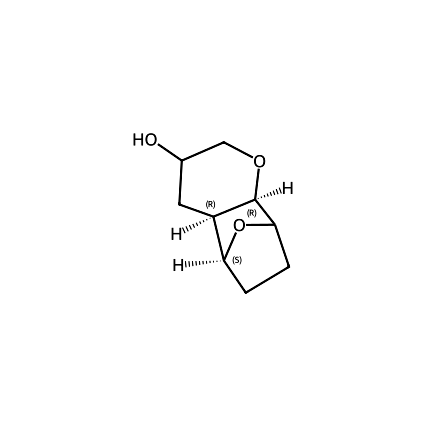 OC1CO[C@H]2C3CC[C@H](O3)[C@H]2C1